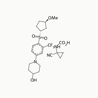 CO[C@@H]1CC[C@@H](S(=O)(=O)c2ccc(N3CCC(O)CC3)cc2C(F)(F)F)C1.N#CC1(NC(=O)O)CC1